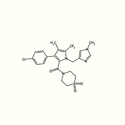 Cc1c(-c2ccc(Cl)cc2)c(C(=O)N2CCS(=O)(=O)CC2)n(Cc2cn(C)cn2)c1C(F)(F)F